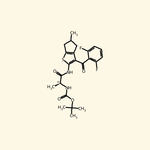 CC1Cc2sc(NC(=O)[C@H](C)NC(=O)OC(C)(C)C)c(C(=O)c3c(F)cccc3F)c2C1